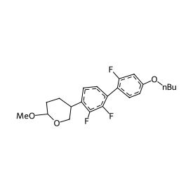 CCCCOc1ccc(-c2ccc(C3CCC(OC)OC3)c(F)c2F)c(F)c1